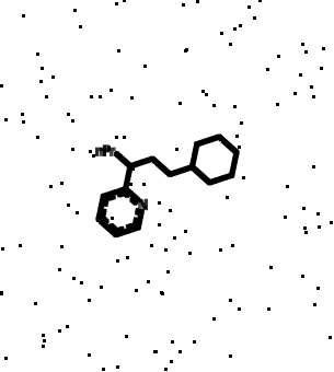 CCCC(CCC1CCCCC1)c1ccccn1